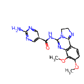 COc1ccc2c(c1OC)N=C(NC(=O)c1cnc(N)nc1)N1CCN=C21